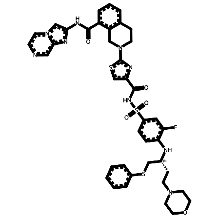 O=C(NS(=O)(=O)c1ccc(N[C@H](CCN2CCOCC2)CSc2ccccc2)c(F)c1)c1csc(N2CCc3cccc(C(=O)Nc4cn5ccncc5n4)c3C2)n1